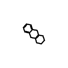 c1ccc2c(c1)CC1=C(CCCC1)C2